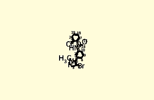 Cn1ncc(Br)c1-c1cccc(NN(C=O)c2ccccc2Cl)c1